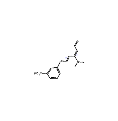 C=C/C=C(\C=C\Oc1cccc(C(=O)O)c1)N(C)C